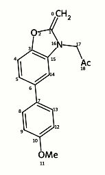 C=C1Oc2ccc(-c3ccc(OC)cc3)cc2N1CC(C)=O